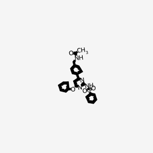 CC(=O)NCc1ccc(-c2cc(Oc3ccccc3)nc(NS(=O)(=O)c3ccccc3)n2)cc1